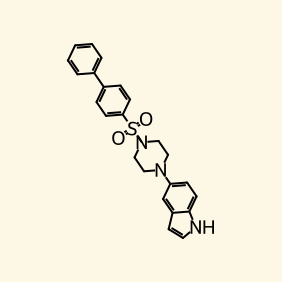 O=S(=O)(c1ccc(-c2ccccc2)cc1)N1CCN(c2ccc3[nH]ccc3c2)CC1